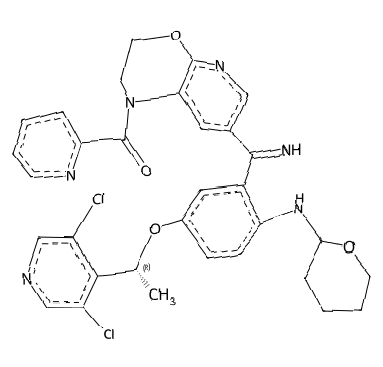 C[C@@H](Oc1ccc(NC2CCCCO2)c(C(=N)c2cnc3c(c2)N(C(=O)c2ccccn2)CCO3)c1)c1c(Cl)cncc1Cl